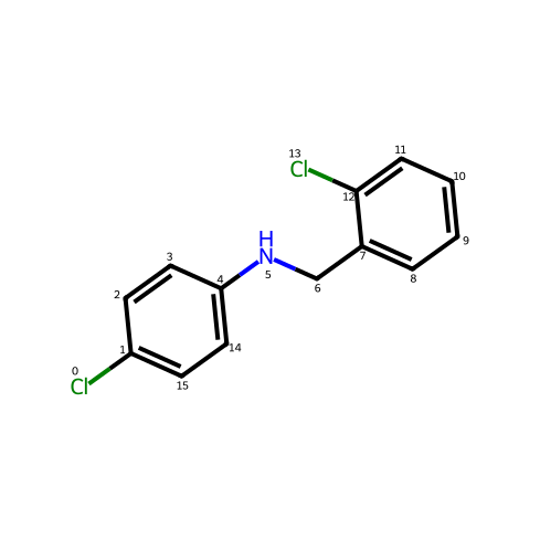 Clc1ccc(NCc2ccccc2Cl)cc1